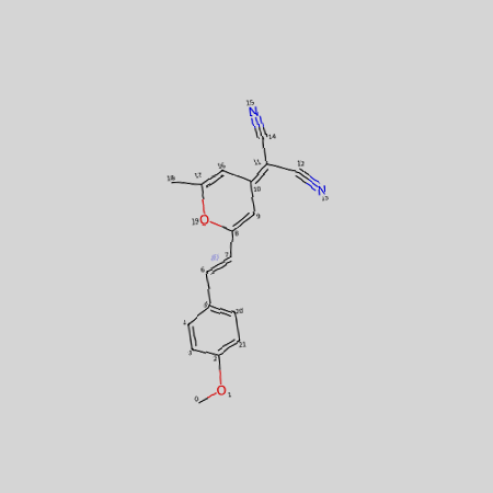 COc1ccc(/C=C/C2=CC(=C(C#N)C#N)C=C(C)O2)cc1